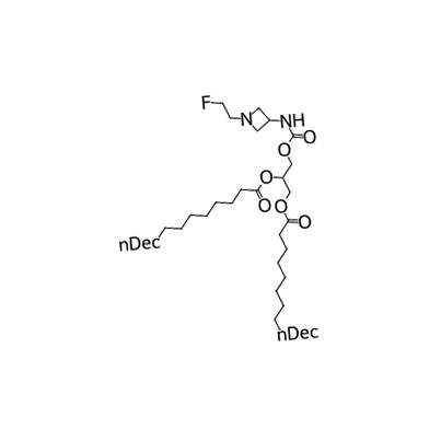 CCCCCCCCCCCCCCCCCC(=O)OCC(COC(=O)NC1CN(CCF)C1)OC(=O)CCCCCCCCCCCCCCCCC